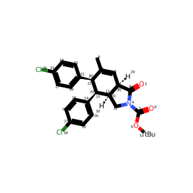 CC1=C[C@H]2C(=O)N(C(=O)OC(C)(C)C)C[C@H]2[C@@H](c2ccc(Cl)cc2)[C@H]1c1ccc(Cl)cc1